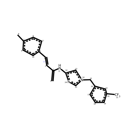 C=C(/C=C/c1ccc(C)cc1)Nc1cn(Cc2cccc(C(F)(F)F)c2)cn1